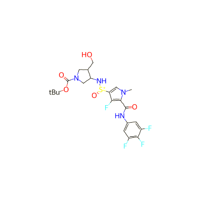 Cn1cc([S+]([O-])NC2CN(C(=O)OC(C)(C)C)CC2CO)c(F)c1C(=O)Nc1cc(F)c(F)c(F)c1